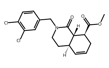 COC(=O)[C@H]1CC=C[C@H]2CCN(Cc3ccc(Cl)c(Cl)c3)C(=O)[C@H]12